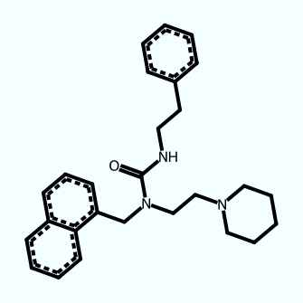 O=C(NCCc1ccccc1)N(CCN1CCCCC1)Cc1cccc2ccccc12